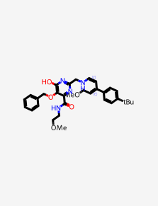 COC/C=C(\C=C/NCc1nc(O)c(OCc2ccccc2)c(C(=O)NCCOC)n1)c1ccc(C(C)(C)C)cc1